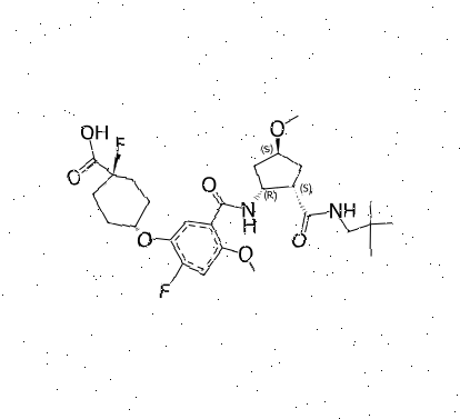 COc1cc(F)c(O[C@H]2CC[C@@](F)(C(=O)O)CC2)cc1C(=O)N[C@@H]1C[C@@H](OC)C[C@@H]1C(=O)NCC(C)(C)C